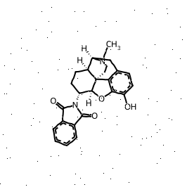 CN1CC[C@]23c4c5ccc(O)c4O[C@H]2[C@H](N2C(=O)c4ccccc4C2=O)CC[C@H]3[C@H]1C5